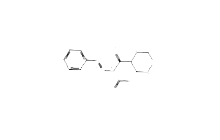 CCOC(=O)C(=O)[C@H](/N=N/c1ccccc1)C(=O)C1CCOCC1